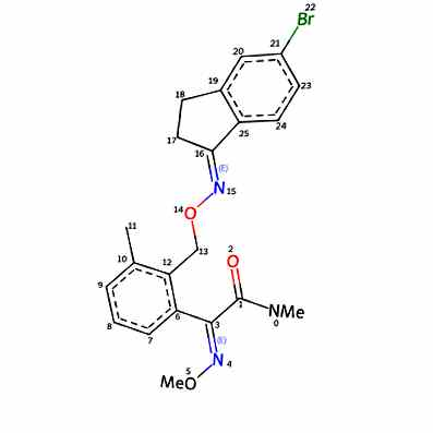 CNC(=O)/C(=N/OC)c1cccc(C)c1CO/N=C1\CCc2cc(Br)ccc21